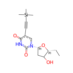 CC[C@H]1O[C@@H](n2cc(C#C[Si](C)(C)C)c(=O)[nH]c2=O)CC1O